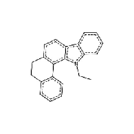 CCn1c2ccccc2c2ccc3c(c21)-c1ccccc1CC3